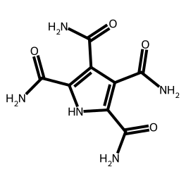 NC(=O)c1[nH]c(C(N)=O)c(C(N)=O)c1C(N)=O